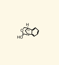 OP1OC[C@@H]2CN1c1ccccc12